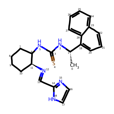 C[C@H](NC(=S)NC1CCCC[C@@H]1/N=C/c1ncc[nH]1)c1cccc2ccccc12